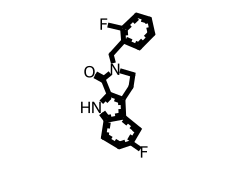 O=C1c2[nH]c3ccc(F)cc3c2CCN1Cc1ccccc1F